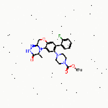 CC1C(=O)NN=C2COc3cc(-c4ccccc4F)c(N4CCN(C(=O)OC(C)(C)C)CC4)cc3N21